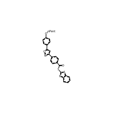 CCCCCOc1ccc(-c2cc(-c3ccc(C(=O)Sc4nc5ccccc5s4)cc3)no2)cc1